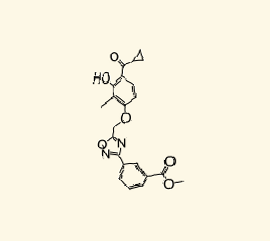 COC(=O)c1cccc(-c2noc(COc3ccc(C(=O)C4CC4)c(O)c3C)n2)c1